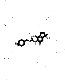 CC1(O)CCc2c1cc(Cl)c(NC(=O)NCC1CCC(F)(F)CC1)c2Cl